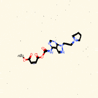 CCCCOC(=O)/C=C\C(=O)OC(=O)Nc1ncnc2c1cnn2CCN1CCCC1